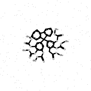 CC(C)(C)OC(=O)Cc1cc(C2(c3cc(OC(=O)OC(C)(C)C)c(OC(=O)OC(C)(C)C)c(OC(=O)OC(C)(C)C)c3)c3ccccc3-c3ccccc32)cc(OC(=O)OC(C)(C)C)c1OC(=O)OC(C)(C)C